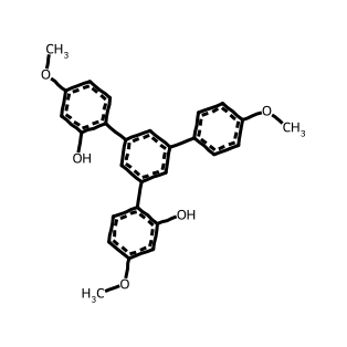 COc1ccc(-c2cc(-c3ccc(OC)cc3O)cc(-c3ccc(OC)cc3O)c2)cc1